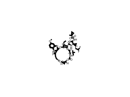 CC[C@@H]1[C@@H]2CN(C(=O)[C@H](C(C)(C)C)NC(=O)O[C@@H]3C[C@H]3CCCCC(F)(F)c3nc4ccc(OC)cc4nc3O2)[C@@H]1C(=O)N[C@]1(C(=O)NS(=O)(=O)C2(C)CC2)C[C@H]1CC(F)F